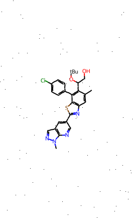 Cc1cc2nc(-c3cnc4c(cnn4C)c3)sc2c(-c2ccc(Cl)cc2)c1C(CO)OC(C)(C)C